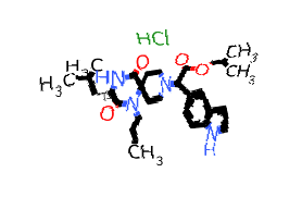 CCCCN1C(=O)[C@H](CC(C)C)NC(=O)C12CCN(C(C(=O)OCC(C)C)c1ccc3[nH]ccc3c1)CC2.Cl